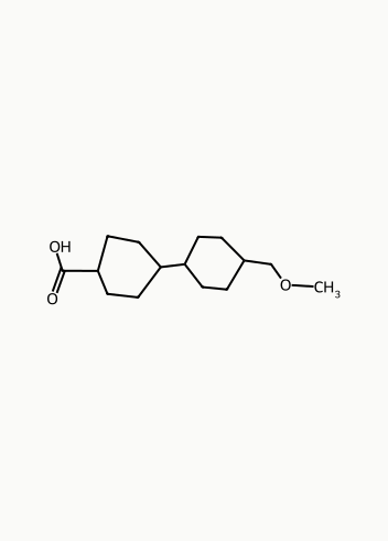 COCC1CCC(C2CCC(C(=O)O)CC2)CC1